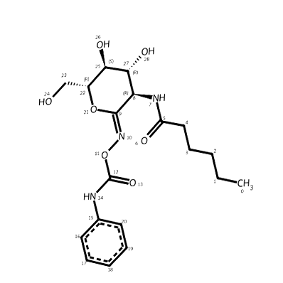 CCCCCC(=O)N[C@H]1C(=NOC(=O)Nc2ccccc2)O[C@H](CO)[C@@H](O)[C@@H]1O